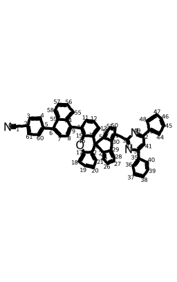 N#Cc1ccc(-c2ccc(-c3cccc4c3Oc3ccccc3C43c4ccccc4-c4c(-c5nc(-c6ccccc6)cc(-c6ccccc6)n5)cccc43)c3ccccc23)cc1